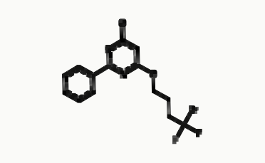 O=c1cc(OCCCC(F)(F)Br)nc(-c2ccccc2)s1